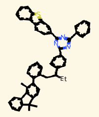 CCC(Cc1ccccc1-c1ccc2c(c1C)-c1ccccc1C2(C)C)c1ccc(-c2nc(-c3ccccc3)nc(-c3ccc4c(c3)sc3ccccc34)n2)cc1